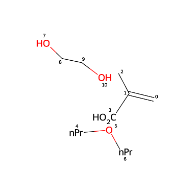 C=C(C)C(=O)O.CCCOCCC.OCCO